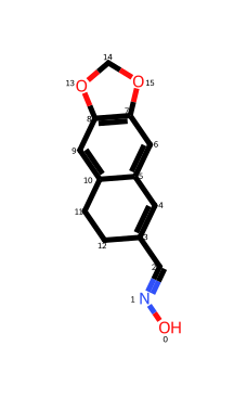 ON=CC1=Cc2cc3c(cc2CC1)OCO3